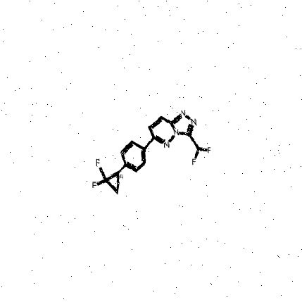 FC(F)c1nnc2ccc(-c3ccc([C@H]4CC4(F)F)cc3)nn12